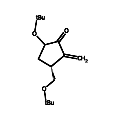 C=C1C(=O)C(OC(C)(C)C)C[C@H]1COC(C)(C)C